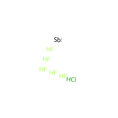 Cl.F.F.F.F.F.[Sb]